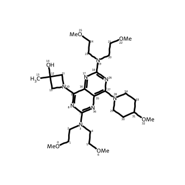 COCCN(CCOC)c1nc(N2CC(C)(O)C2)c2nc(N(CCOC)CCOC)nc(N3CCC(OC)CC3)c2n1